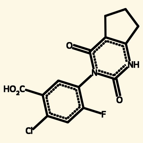 O=C(O)c1cc(-n2c(=O)[nH]c3c(c2=O)CCC3)c(F)cc1Cl